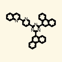 c1ccc2nc(-c3ccc(-c4nc(-c5cc6ccccc6c6ccccc56)nc(-c5cc6ccccc6c6ccccc56)n4)cn3)ccc2c1